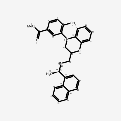 COC(=O)c1ccc(C)c(N2CC(CN[C@H](C)c3cccc4ccccc34)Oc3ccccc32)c1